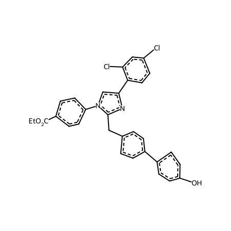 CCOC(=O)c1ccc(-n2cc(-c3ccc(Cl)cc3Cl)nc2Cc2ccc(-c3ccc(O)cc3)cc2)cc1